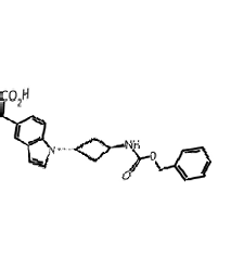 O=C(O)Cc1ccc2c(ccn2[C@H]2C[C@H](NC(=O)OCc3ccccc3)C2)c1